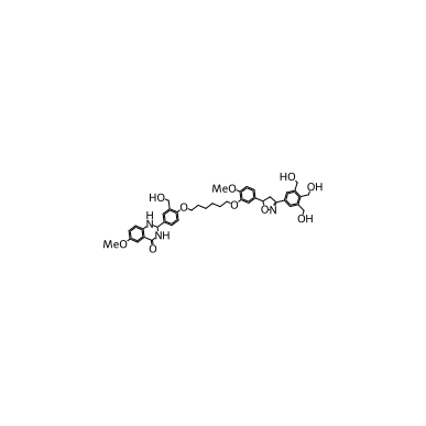 COc1ccc2c(c1)C(=O)NC(c1ccc(OCCCCCCOc3cc(C4CC(c5cc(CO)c(CO)c(CO)c5)=NO4)ccc3OC)c(CO)c1)N2